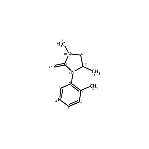 Cc1ccncc1N1C(=O)N(C)CC1C